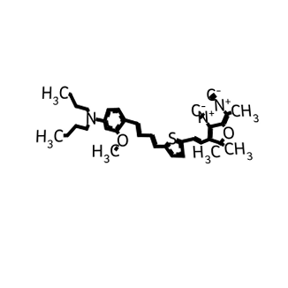 [C-]#[N+]C1=C(/C=C/c2ccc(/C=C/C=C/c3ccc(N(CCCC)CCCC)cc3OC)s2)C(C)(C)O/C1=C(\C)[N+]#[C-]